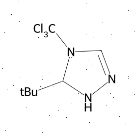 CC(C)(C)C1NN=CN1C(Cl)(Cl)Cl